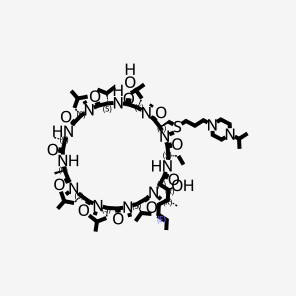 C/C=C/C[C@@H](C)[C@@H](O)[C@H]1C(=O)N[C@@H](CC)C(=O)N(C)[C@H](CSCCCN2CCN(C(C)C)CC2)C(=O)N(C)[C@@H](CC(C)(C)O)C(=O)N[C@@H](C(C)C)C(=O)N(C)[C@@H](CC(C)C)C(=O)N[C@@H](C)C(=O)N[C@H](C)C(=O)N(C)[C@@H](CC(C)C)C(=O)N(C)[C@@H](CC(C)C)C(=O)N(C)[C@@H](C(C)C)C(=O)N1C